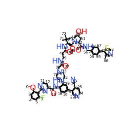 COc1cccc(F)c1-c1nccc(C(=O)Nc2ccc(-c3cnccc3C#N)cc2N2CCN(CC(=O)NCCC(=O)N[C@H](C(=O)N3C[C@H](O)C[C@H]3C(=O)NCc3ccc(-c4scnc4C)cc3)C(C)(C)C)CC2)n1